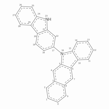 c1ccc2cc3c(cc2c1)c1ccccc1n3-c1ccc2c(c1)[nH]c1ccccc12